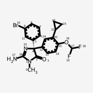 CN1C(=O)[C@](c2cccc(Br)c2)(c2ccc(OC(F)F)c(C3CC3)c2)N=C1N